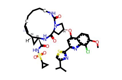 COc1ccc2c(O[C@@H]3CC4C(=O)N[C@]5(C(=O)NS(=O)(=O)C6CC6)C[C@H]5/C=C\CCCCCNC(=O)N4C3)cc(-c3nc(C(C)C)cs3)nc2c1Cl